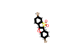 O=S1(=O)c2cc(Br)ccc2-c2oc3cc(Br)ccc3c21